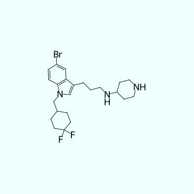 FC1(F)CCC(Cn2cc(CCCNC3CCNCC3)c3cc(Br)ccc32)CC1